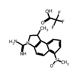 CC1CN(C(=N)N)c2ccc3c([S+](C)[O-])cccc3c21.O=C(O)C(F)(F)F